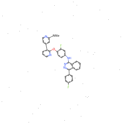 CNc1cc(-c2cccnc2Oc2ccc(Nc3nnc(-c4ccc(F)cc4)c4ccccc34)cc2F)ccn1